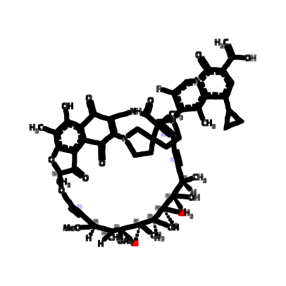 C=C(O)c1cc(C2CC2)c2c(C)c(N3CCC4(CCN(C5=C6NC(=O)/C(C)=C\C=C\[C@H](C)[C@H](O)[C@@H](C)[C@@H](O)[C@@H](C)[C@H](OC(C)=O)[C@H](C)[C@@H](OC)/C=C/O[C@@]7(C)Oc8c(C)c(O)c(c(c8C7=O)C5=O)C6=O)C4)C3)c(F)cn2c1=O